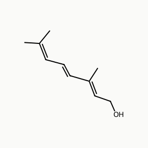 CC(C)=C/C=C/C(C)=C/CO